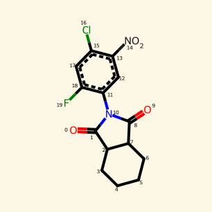 O=C1C2CCCCC2C(=O)N1c1cc([N+](=O)[O-])c(Cl)cc1F